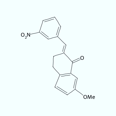 COc1ccc2c(c1)C(=O)C(=Cc1cccc([N+](=O)[O-])c1)CC2